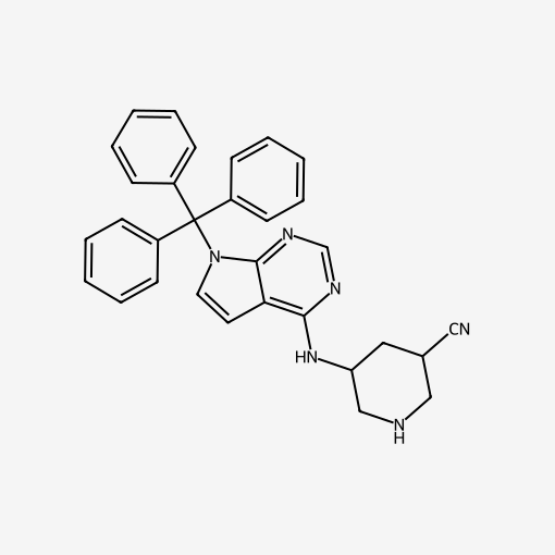 N#CC1CNCC(Nc2ncnc3c2ccn3C(c2ccccc2)(c2ccccc2)c2ccccc2)C1